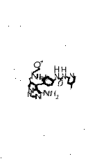 COCCNCc1cn2ncnc(N)c2c1-c1ccc(NC(=O)Nc2cc(C)ccn2)cc1